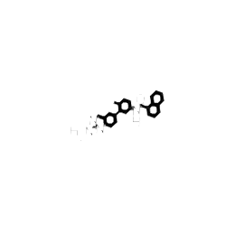 Cc1ccc(NC(=O)c2cccc3ccccc23)cc1-c1ccc2nc(N)ncc2c1